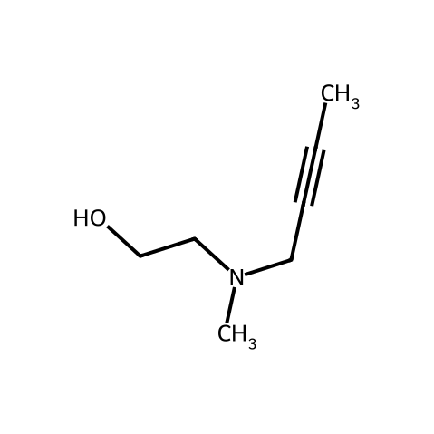 CC#CCN(C)CCO